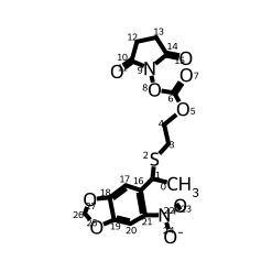 CC(SCCOC(=O)ON1C(=O)CCC1=O)c1cc2c(cc1[N+](=O)[O-])OCO2